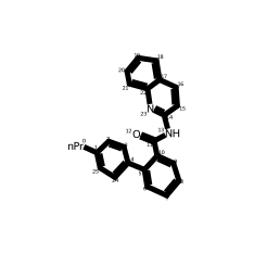 CCCc1ccc(-c2ccccc2C(=O)Nc2ccc3ccccc3n2)cc1